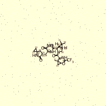 CC1([C@H](NC(=O)C(F)(F)F)C(=O)N2C[C@H]3[C@@H]([C@H]2C(=O)N[C@@H](C[C@@H]2CC4(CC4)NC2=O)C(N)=O)C3(C)C)CC1